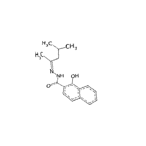 CC(CC(C)C)=NNC(=O)c1ccc2ccccc2c1O